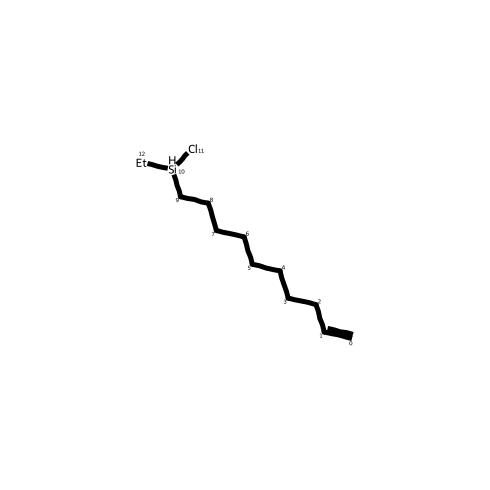 C=CCCCCCCCC[SiH](Cl)CC